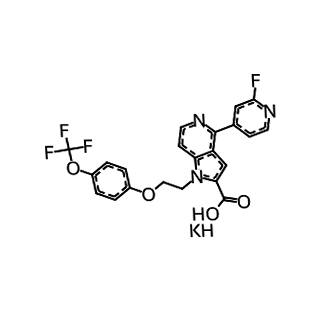 O=C(O)c1cc2c(-c3ccnc(F)c3)nccc2n1CCOc1ccc(OC(F)(F)F)cc1.[KH]